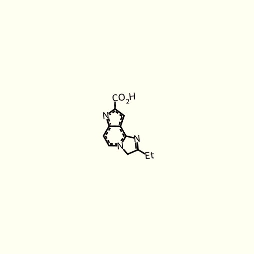 CCC1=Nc2c3cc(C(=O)O)nc-3ccn2C1